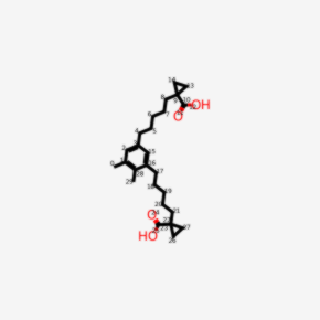 Cc1cc(CCCCCC2(C(=O)O)CC2)cc(CCCCCC2(C(=O)O)CC2)c1C